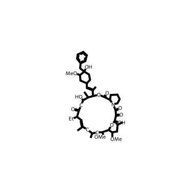 CCC1/C=C(\C)CC(C)CC(OC)C2OC(O)(C(=O)C(=O)N3CCCCC3C(=O)OC(C(C)=CC3CCC(O)(Cc4ccccc4)C(OC)C3)C(C)C(O)CC1=O)C(C)CC2OC